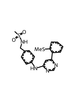 CSc1ccccc1-c1cc(Nc2ccc(CNS(C)(=O)=O)cc2)ncn1